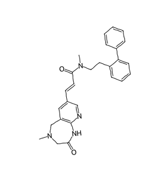 CN1CC(=O)Nc2ncc(/C=C/C(=O)N(C)CCc3ccccc3-c3ccccc3)cc2C1